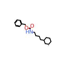 O=C(NCCCCC1C[CH]CCC1)OCc1ccccc1